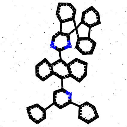 c1ccc(-c2cc(-c3ccccc3)nc(-c3c4ccccc4c(-c4ncc5c(n4)C4(c6ccccc6-c6ccccc64)c4ccccc4-5)c4ccccc34)c2)cc1